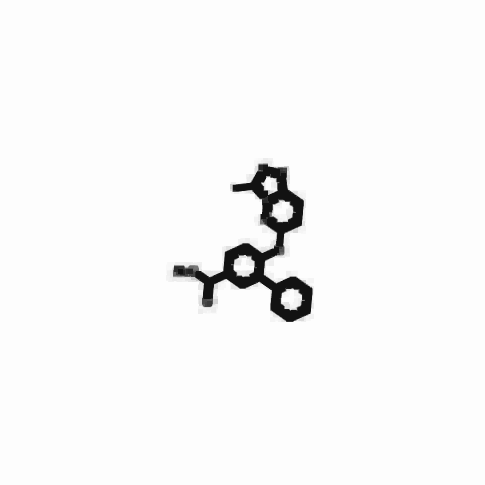 COC(=O)c1ccc(Oc2ccc3nnc(C)n3n2)c(-c2ccccc2)c1